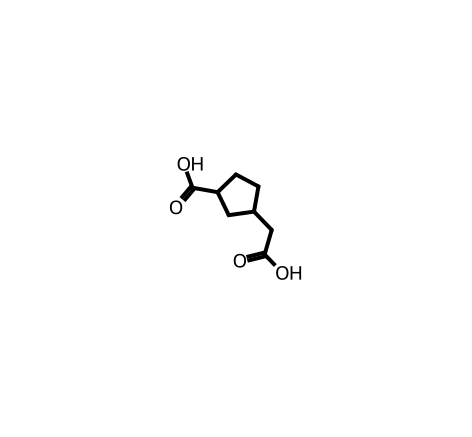 O=C(O)CC1CCC(C(=O)O)C1